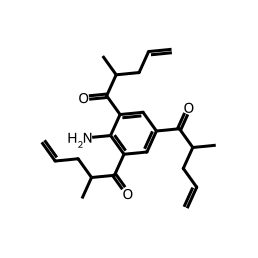 C=CCC(C)C(=O)c1cc(C(=O)C(C)CC=C)c(N)c(C(=O)C(C)CC=C)c1